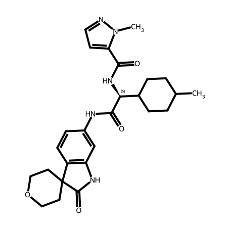 CC1CCC([C@H](NC(=O)c2ccnn2C)C(=O)Nc2ccc3c(c2)NC(=O)C32CCOCC2)CC1